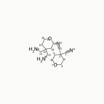 N#CC1(C#N)CCOCC1.NCC1(CN)CCOCC1